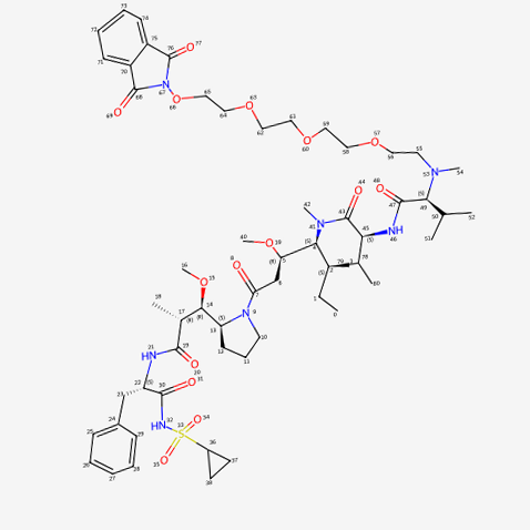 CC[C@H](C)[C@@H]([C@@H](CC(=O)N1CCC[C@H]1[C@H](OC)[C@@H](C)C(=O)N[C@@H](Cc1ccccc1)C(=O)NS(=O)(=O)C1CC1)OC)N(C)C(=O)[C@@H](NC(=O)[C@H](C(C)C)N(C)CCOCCOCCOCCON1C(=O)c2ccccc2C1=O)C(C)C